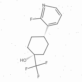 O[C@]1(C(F)(F)F)CC[C@H](c2cccnc2F)CC1